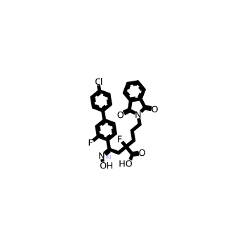 O=C1c2ccccc2C(=O)N1CCCC(F)(C/C(=N\O)c1ccc(-c2ccc(Cl)cc2)cc1F)C(=O)O